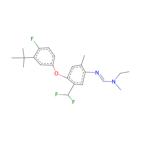 CCN(C)C=Nc1cc(C(F)F)c(Oc2ccc(F)c(C(C)(C)C)c2)cc1C